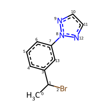 CC(Br)c1cccc(-n2nccn2)c1